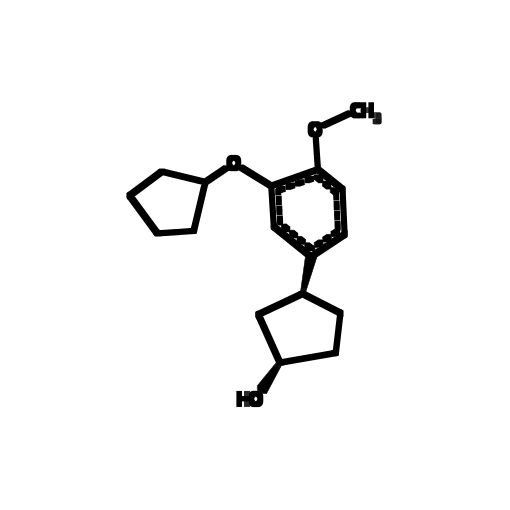 COc1ccc([C@H]2CC[C@@H](O)C2)cc1OC1CCCC1